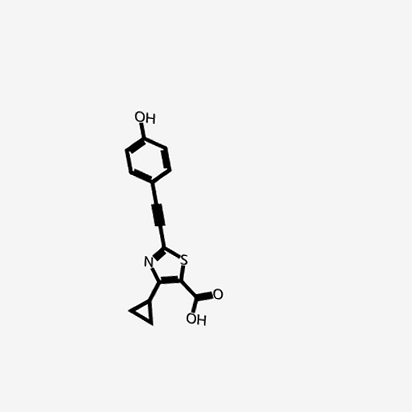 O=C(O)c1sc(C#Cc2ccc(O)cc2)nc1C1CC1